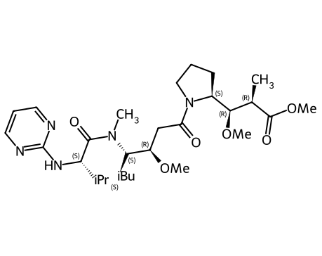 CC[C@H](C)[C@@H]([C@@H](CC(=O)N1CCC[C@H]1[C@H](OC)[C@@H](C)C(=O)OC)OC)N(C)C(=O)[C@@H](Nc1ncccn1)C(C)C